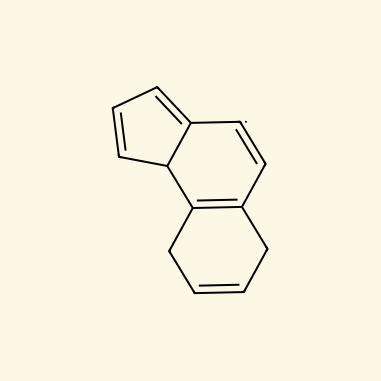 [C]1=CC2=C(CC=CC2)C2C=CC=C12